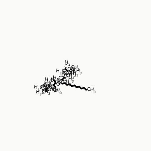 CCCCCCCCCCCC[Si](C)(OC(CC)C(C)(CC)[Si](C)(C)OC(C)(CC)[Si](C)(C)C)C(C)(C)C(C)O[Si](C)(C)C(C)(CC)O[Si](C)(C)C